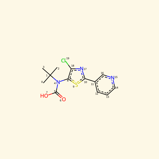 CC(C)(C)N(C(=O)O)c1sc(-c2cccnc2)nc1Cl